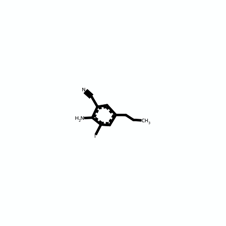 CCCc1cc(I)c(N)c(C#N)c1